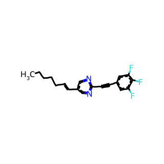 CCCCCC=Cc1cnc(C#Cc2cc(F)c(F)c(F)c2)nc1